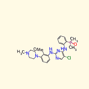 COc1c(Nc2ncc(Cl)c(Nc3ccccc3P(C)(C)=O)n2)cccc1N1CCN(C)CC1